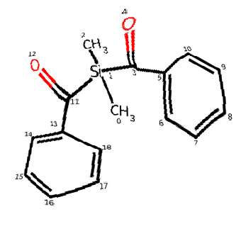 C[Si](C)(C(=O)c1ccccc1)C(=O)c1ccccc1